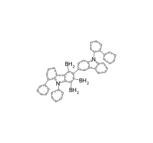 Bc1c(-c2ccc3c(c2)c2ccccc2n3-c2ccccc2-c2ccccc2)c(B)c2c3cccc(-c4ccccc4)c3n(-c3ccccc3)c2c1B